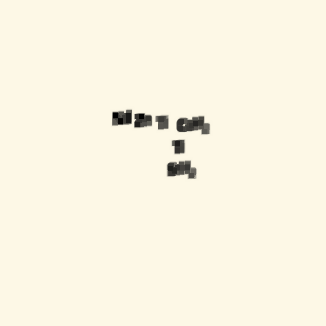 [CaH2].[Nd].[SrH2].[Ti].[Ti].[Zn]